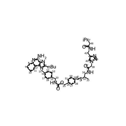 CCCCc1nc2c(N)nc3ccccc3c2n1Cc1ccc(CNC(=O)OCc2ccc(SSC(C)CNC(=O)Cn3cc(CNC(=O)CC(C)C)nn3)cc2)cc1